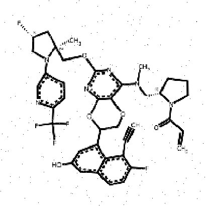 C#Cc1c(F)ccc2cc(O)cc(C3COc4c(nc(OC[C@]5(C)C[C@@H](F)CN5c5ccc(C(F)(F)F)nc5)nc4N(C)C[C@@H]4CCCN4C(=O)C=C)O3)c12